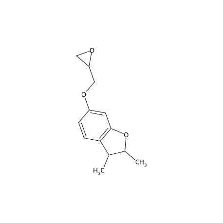 CC1Oc2cc(OCC3CO3)ccc2C1C